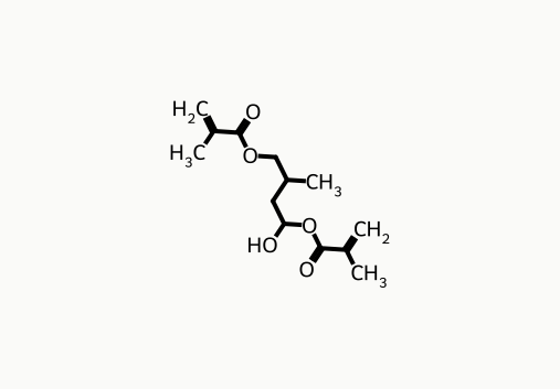 C=C(C)C(=O)OCC(C)CC(O)OC(=O)C(=C)C